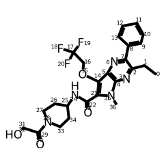 CCc1nc2c(nc1-c1ccccc1)c(OCC(F)(F)F)c(C(=O)NC1CCN(C(=O)CO)CC1)n2C